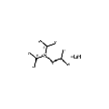 C[C](C)CN(C(C)C)C(C)C.[LiH]